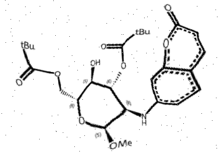 CO[C@H]1O[C@H](COC(=O)C(C)(C)C)[C@@H](O)[C@H](OC(=O)C(C)(C)C)[C@H]1Nc1ccc2ccc(=O)oc2c1